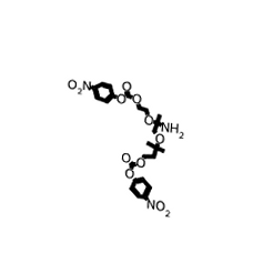 CC(C)(CCOC(=O)Oc1ccc([N+](=O)[O-])cc1)OCC(C)(N)OCCOC(=O)Oc1ccc([N+](=O)[O-])cc1